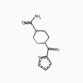 NC(=O)N1CCN(C(=O)c2cccs2)CC1